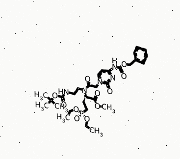 CCOP(=O)(CC[C@H](C(=O)OC)N(CCNC(=O)OC(C)(C)C)C(=O)Cn1ccc(NC(=O)OCc2ccccc2)nc1=O)OCC